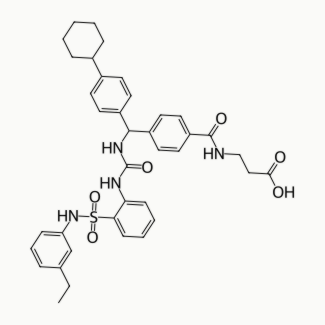 CCc1cccc(NS(=O)(=O)c2ccccc2NC(=O)NC(c2ccc(C(=O)NCCC(=O)O)cc2)c2ccc(C3CCCCC3)cc2)c1